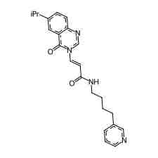 CC(C)c1ccc2ncn(C=CC(=O)NCCCCc3cccnc3)c(=O)c2c1